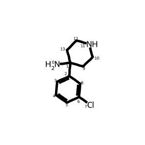 NC1(c2cccc(Cl)c2)CCNCC1